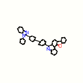 c1ccc(-n2c(-c3ccc(-c4ccc(-c5nc6ccccc6c6c5ccc5c7ccccc7oc56)cc4)cc3)nc3ccccc32)cc1